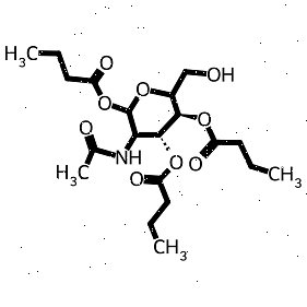 CCCC(=O)OC1OC(CO)[C@@H](OC(=O)CCC)[C@H](OC(=O)CCC)C1NC(C)=O